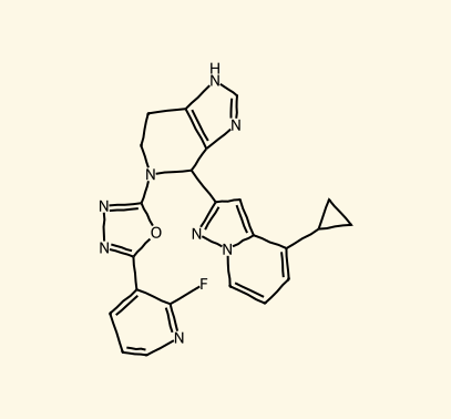 Fc1ncccc1-c1nnc(N2CCc3[nH]cnc3C2c2cc3c(C4CC4)cccn3n2)o1